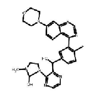 CN1CCN(c2nccnc2C(O)c2ccc(F)c(-c3ncnc4cc(N5CCOCC5)ccc34)c2)C1O